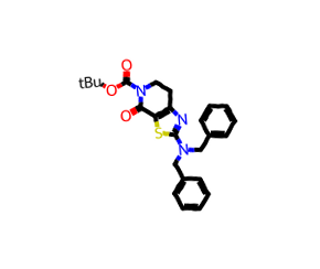 CC(C)(C)OC(=O)N1CCc2nc(N(Cc3ccccc3)Cc3ccccc3)sc2C1=O